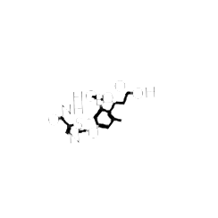 Cc1cc(Oc2ncc(C(N)=O)s2)cc2c1C(CC(=O)O)OB2O